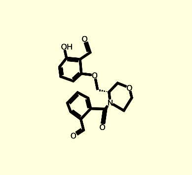 O=Cc1ccccc1C(=O)N1CCOC[C@H]1COc1cccc(O)c1C=O